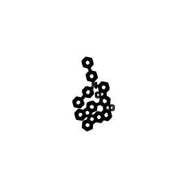 c1ccc(-c2ccc(N(c3ccc(-c4ccccc4)cc3)c3cccc4c3oc3c(-c5ccc6c(c5)C5(c7ccccc7-c7ccccc75)c5ccccc5-6)c5c(cc34)oc3ccccc35)cc2)cc1